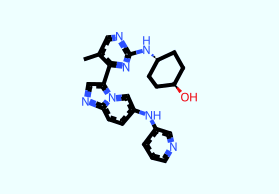 Cc1cnc(N[C@H]2CC[C@H](O)CC2)nc1-c1cnc2ccc(Nc3cccnc3)cn12